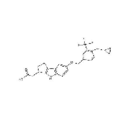 O=C(O)CC1CCc2c1[nH]c1ccc(OCc3ccc(CC4CC4)c(C(F)(F)F)c3)cc21